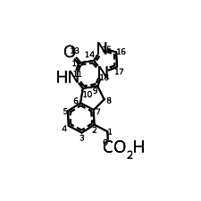 O=C(O)Cc1cccc2c1Cc1c-2[nH]c(=O)c2nccn12